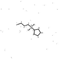 CCCC[Si](C)(C)C1CCCC1